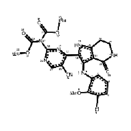 COc1c(Cl)cccc1Nc1c(-c2nc(N(C(=O)OC(C)(C)C)C(=O)OC(C)(C)C)ncc2C#N)[nH]c2c1C(=O)NCC2